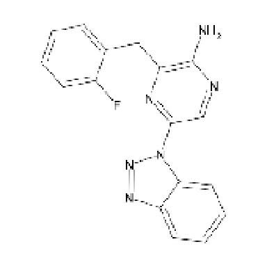 Nc1ncc(-n2nnc3ccccc32)nc1Cc1ccccc1F